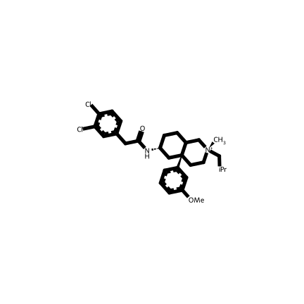 COc1cccc([C@]23CC[N@@+](C)(CC(C)C)CC2CC[C@@H](NC(=O)Cc2ccc(Cl)c(Cl)c2)C3)c1